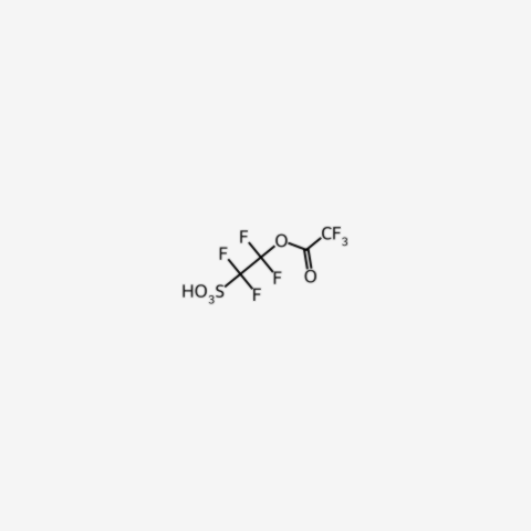 O=C(OC(F)(F)C(F)(F)S(=O)(=O)O)C(F)(F)F